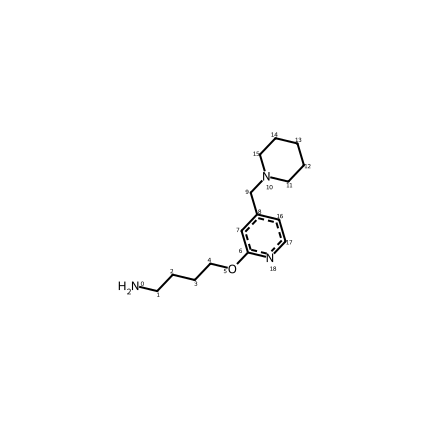 NCCCCOc1cc(CN2CCCCC2)ccn1